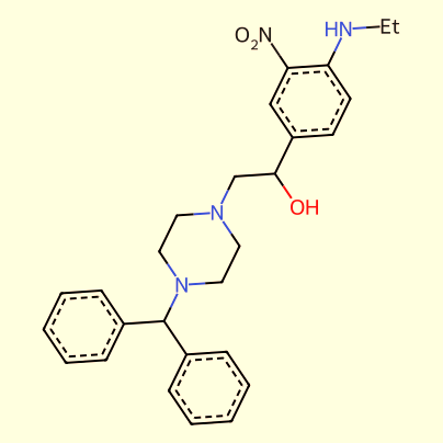 CCNc1ccc(C(O)CN2CCN(C(c3ccccc3)c3ccccc3)CC2)cc1[N+](=O)[O-]